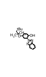 CC(C)(C)CC(C)(C)Oc1ccc(O)c(-n2nc3ccccc3n2)c1